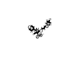 Cc1c([N+](=O)[O-])c(OCCCO[Si](C)(C)C(C)(C)C)nn1C1CCOCC1